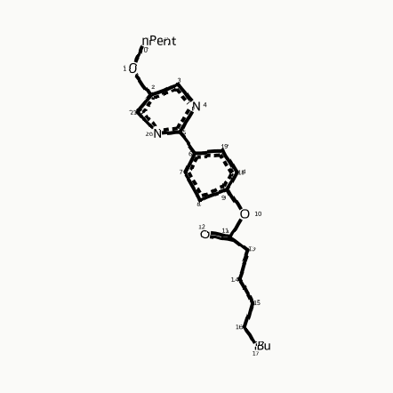 CCCCCOc1cnc(-c2ccc(OC(=O)CCCCC(C)CC)cc2)nc1